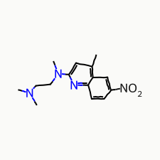 Cc1cc(N(C)CCN(C)C)nc2ccc([N+](=O)[O-])cc12